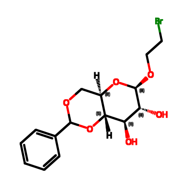 O[C@@H]1[C@@H](O)[C@H](OCCBr)O[C@@H]2COC(c3ccccc3)O[C@@H]12